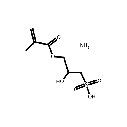 C=C(C)C(=O)OCC(O)CS(=O)(=O)O.N